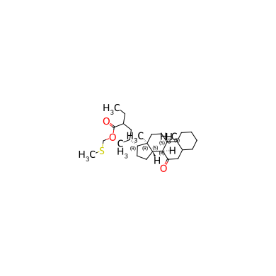 CCC(CC(C)[C@H]1CC[C@H]2[C@@H]3C(=O)CC4CCCC[C@]4(C)[C@H]3CC[C@]12C)C(=O)OCSC